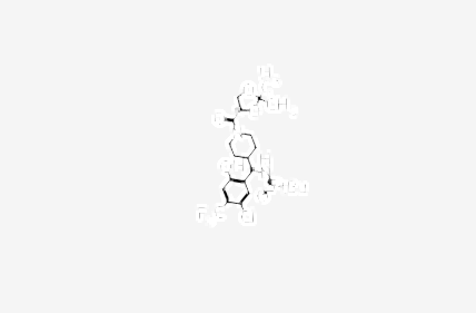 CC1(C)OC[C@H](C(=O)N2CCC([C@@H](N[S@@+]([O-])C(C)(C)C)c3cc(Cl)c(C(F)(F)F)cc3O)CC2)O1